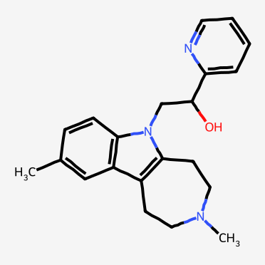 Cc1ccc2c(c1)c1c(n2CC(O)c2ccccn2)CCN(C)CC1